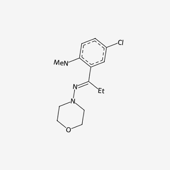 CC/C(=N\N1CCOCC1)c1cc(Cl)ccc1NC